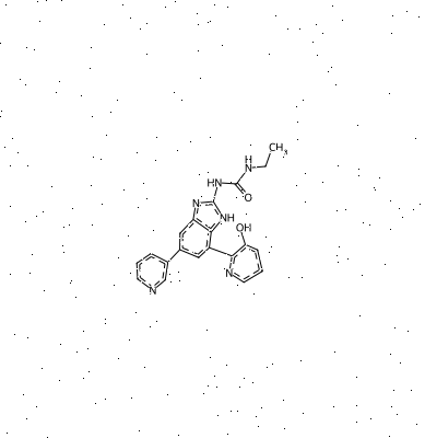 CCNC(=O)Nc1nc2cc(-c3cccnc3)cc(-c3ncccc3O)c2[nH]1